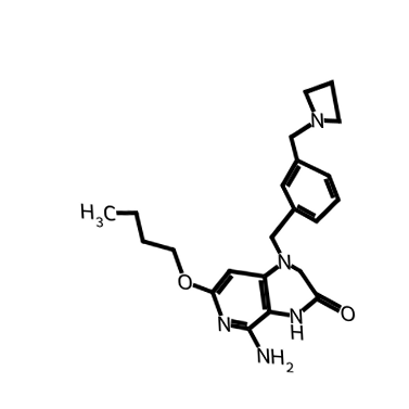 CCCCOc1cc2c(c(N)n1)NC(=O)CN2Cc1cccc(CN2CCC2)c1